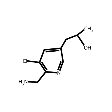 CC(O)Cc1cnc(CN)c(Cl)c1